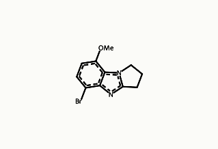 COc1ccc(Br)c2nc3n(c12)CCC3